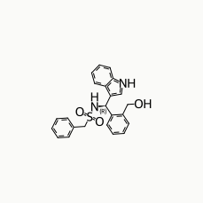 O=S(=O)(Cc1ccccc1)N[C@H](c1ccccc1CO)c1c[nH]c2ccccc12